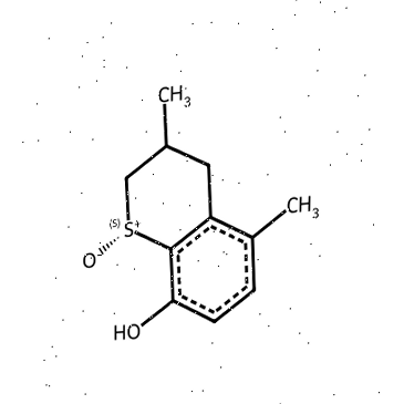 Cc1ccc(O)c2c1CC(C)C[S@@+]2[O-]